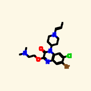 CC=CN1CCC(n2c(=O)c(OCCN(C)C)nc3cc(Br)c(Cl)cc32)CC1